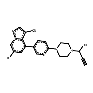 C#CC(O)N1CCN(c2ccc(-c3cc(O)cn4ncc(C#N)c34)cn2)CC1